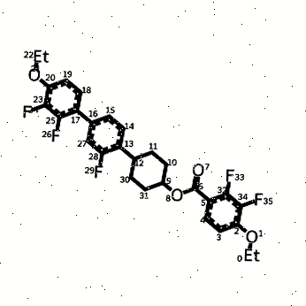 CCOc1ccc(C(=O)OC2CCC(c3ccc(-c4ccc(OCC)c(F)c4F)cc3F)CC2)c(F)c1F